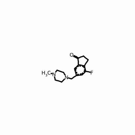 CN1CCN(Cc2cc(F)c3c(c2)C(=O)CC3)CC1